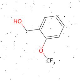 OCc1c[c]ccc1OC(F)(F)F